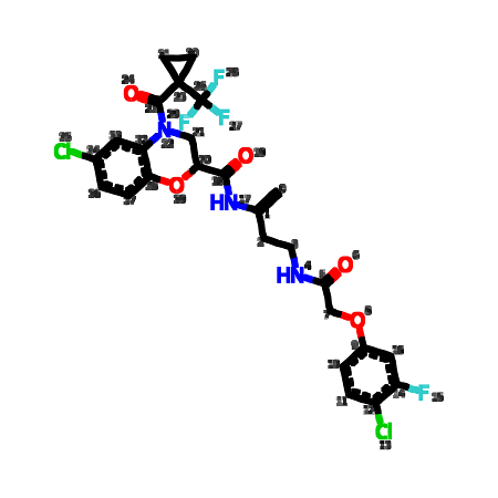 C=C(CCNC(=O)COc1ccc(Cl)c(F)c1)NC(=O)C1CN(C(=O)C2(C(F)(F)F)CC2)c2cc(Cl)ccc2O1